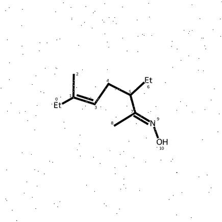 CC/C(C)=C/CC(CC)/C(C)=N/O